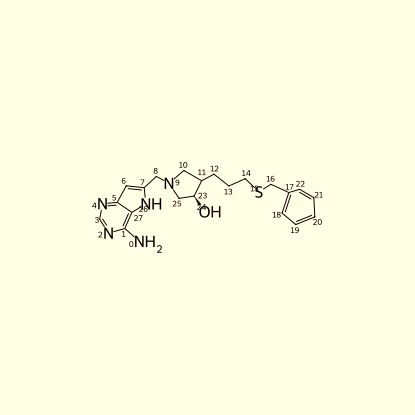 Nc1ncnc2cc(CN3CC(CCCSCc4ccccc4)[C@@H](O)C3)[nH]c12